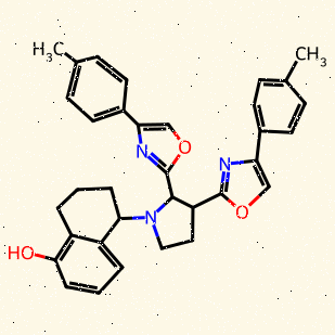 Cc1ccc(-c2coc(C3CCN(C4CCCc5c(O)cccc54)C3c3nc(-c4ccc(C)cc4)co3)n2)cc1